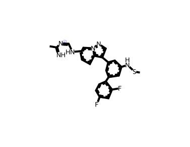 CSNc1cc(-c2ccc(F)cc2F)cc(-c2cnn3cc(N/C=N\C(C)=N)ccc23)c1